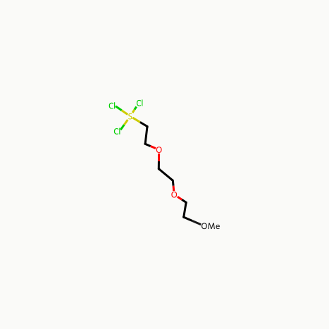 COCCOCCOCCS(Cl)(Cl)Cl